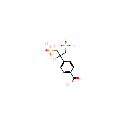 NC(CP(=O)(O)O)(CP(=O)(O)O)c1ccc(C(=O)O)cc1